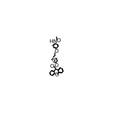 CC(=O)Nc1ccc(OCCC[N+]2(C)CCC(OC(=O)C3c4ccccc4Oc4ccccc43)C2)cc1